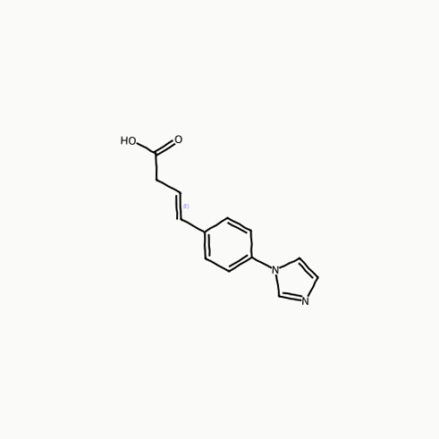 O=C(O)C/C=C/c1ccc(-n2ccnc2)cc1